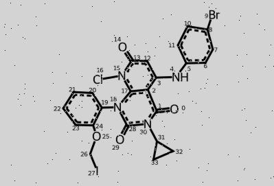 O=c1c2c(Nc3ccc(Br)cc3)cc(=O)n(Cl)c2n(-c2ccccc2OCI)c(=O)n1C1CC1